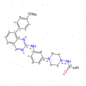 COc1ccc(-c2cccc3cnc(Nc4cccc(N5CCN(NC(=O)C(C)C)CC5)c4)nc23)cc1